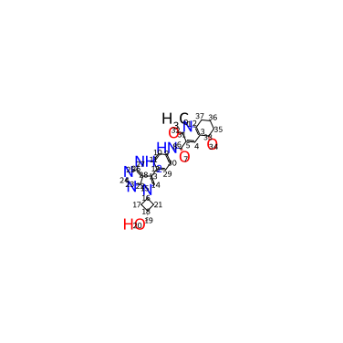 Cn1c2c(cc(C(=O)Nc3ccc(-c4cn([C@H]5C[C@@H](CO)C5)c5ncnc(N)c45)cc3)c1=O)C(=O)CCC2